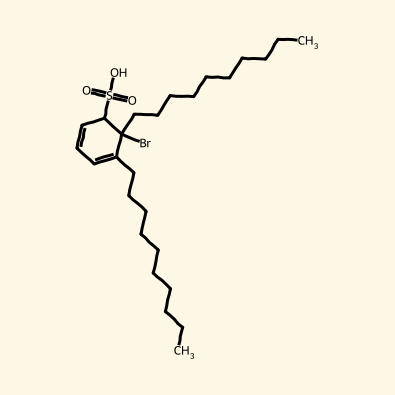 CCCCCCCCCCC1=CC=CC(S(=O)(=O)O)C1(Br)CCCCCCCCCC